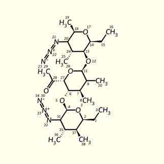 CC[C@@H]1O[C@H](O[C@H]2[C@H](C)C(C)[C@H](O[C@@H]3[C@H](CC)O[C@H](C)C(N=[N+]=[N-])[C@H]3C)O[C@H]2C(C)=O)C(N=[N+]=[N-])[C@@H](C)[C@@H]1C